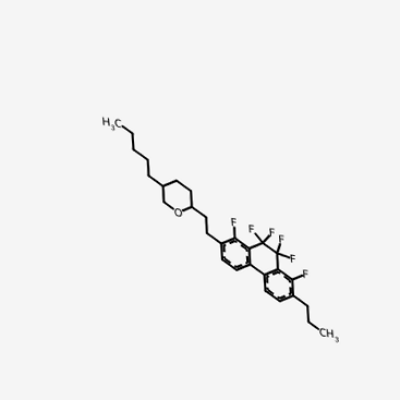 CCCCCC1CCC(CCc2ccc3c(c2F)C(F)(F)C(F)(F)c2c-3ccc(CCC)c2F)OC1